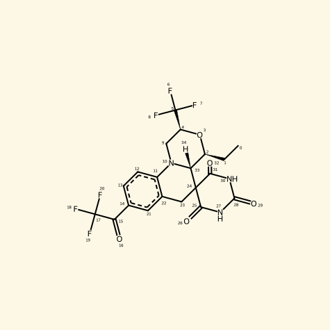 CC[C@@H]1O[C@H](C(F)(F)F)CN2c3ccc(C(=O)C(F)(F)F)cc3CC3(C(=O)NC(=O)NC3=O)[C@@H]12